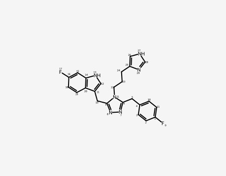 Fc1ccc(Cc2nnc(Cc3c[nH]c4cc(F)ccc34)n2CCCc2c[nH]cn2)cc1